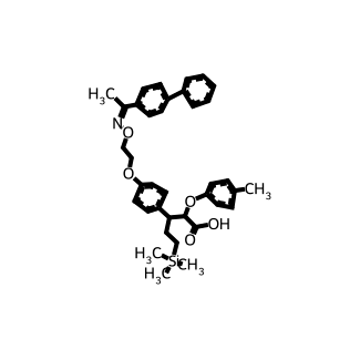 CC(=NOCCOc1ccc(C(CC[Si](C)(C)C)C(Oc2ccc(C)cc2)C(=O)O)cc1)c1ccc(-c2ccccc2)cc1